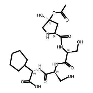 CC(=O)O[C@]1(O)CN[C@H](C(=O)N[C@@H](CO)C(=O)N[C@@H](CO)C(=O)N[C@H](C(=O)O)C2CCCCC2)C1